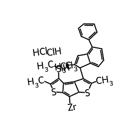 CC1=Cc2c(-c3ccccc3)cccc2C1C1=C(C)SC2[C]([Zr])=c3sc(C)c([SiH](C)C)c3=C12.Cl.Cl